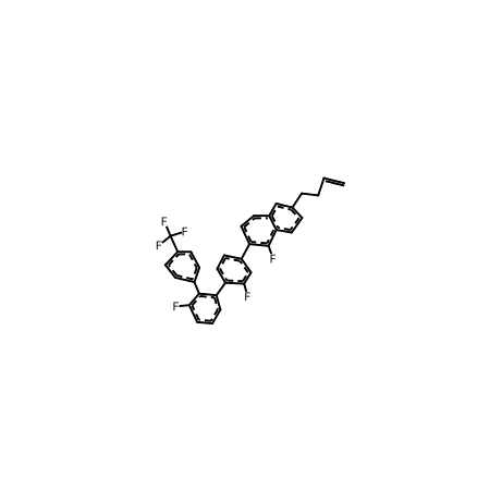 C=CCCc1ccc2c(F)c(-c3ccc(-c4cccc(F)c4-c4ccc(C(F)(F)F)cc4)c(F)c3)ccc2c1